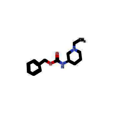 CCN1CCC[C@@H](NC(=O)OCc2ccccc2)C1